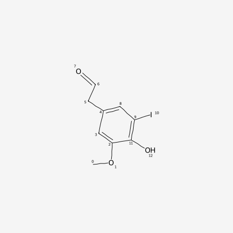 COc1cc(CC=O)cc(I)c1O